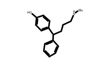 CC(C)(C)NC[CH]CC(c1ccccc1)c1ccc(O)cc1